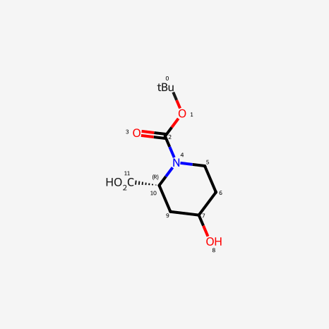 CC(C)(C)OC(=O)N1CCC(O)C[C@@H]1C(=O)O